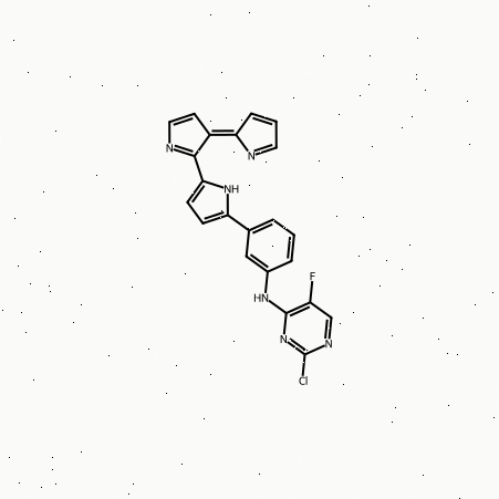 Fc1cnc(Cl)nc1Nc1cccc(-c2ccc(C3=NC=CC3=C3C=CC=N3)[nH]2)c1